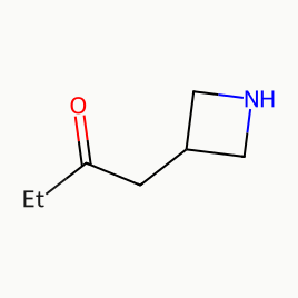 CCC(=O)CC1CNC1